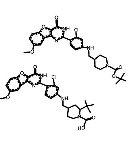 COc1ccc2oc3c(=O)[nH]c(-c4ccc(NCC5CCN(C(=O)O)C(C(C)(C)C)C5)cc4Cl)nc3c2c1.COc1ccc2oc3c(=O)[nH]c(-c4ccc(NCC5CCN(C(=O)OC(C)(C)C)CC5)cc4Cl)nc3c2c1